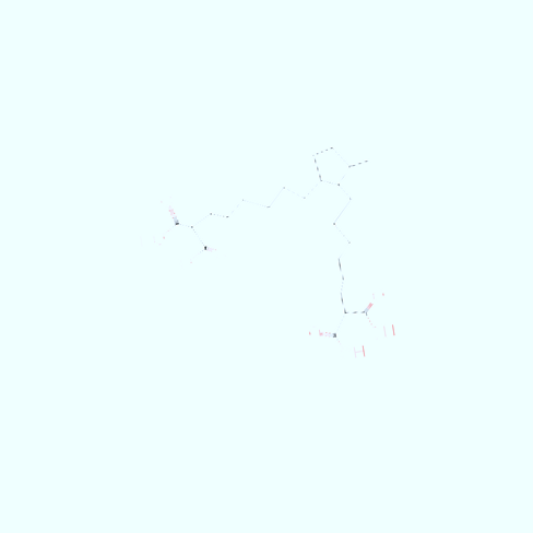 CC1CCC(CCCCCCC(C(=O)O)C(=O)O)C1CCCCCCC(C(=O)O)C(=O)O